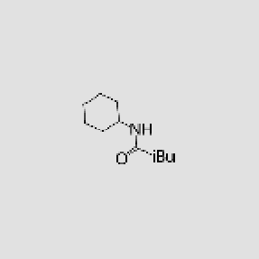 CCC(C)C(=O)NC1CCCCC1